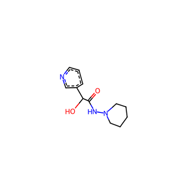 O=C(NN1CCCCC1)C(O)c1cccnc1